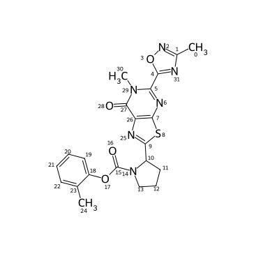 Cc1noc(-c2nc3sc(C4CCCN4C(=O)Oc4ccccc4C)nc3c(=O)n2C)n1